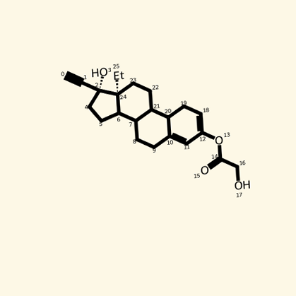 C#C[C@]1(O)CCC2C3CCC4=CC(OC(=O)CO)=CCC4C3CC[C@@]21CC